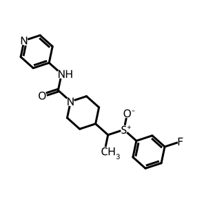 CC(C1CCN(C(=O)Nc2ccncc2)CC1)[S+]([O-])c1cccc(F)c1